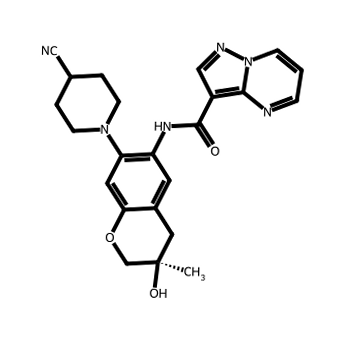 C[C@]1(O)COc2cc(N3CCC(C#N)CC3)c(NC(=O)c3cnn4cccnc34)cc2C1